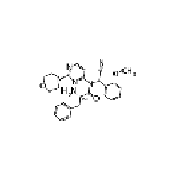 COc1ccccc1C(C#N)N(C(=O)[C@@H](N)Cc1ccccc1)c1ccnc(N2CCOCC2)n1